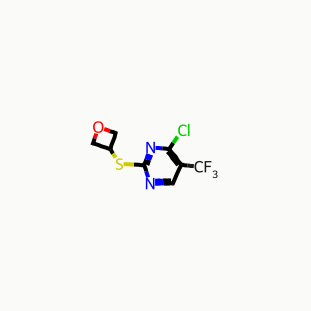 FC(F)(F)c1cnc(SC2COC2)nc1Cl